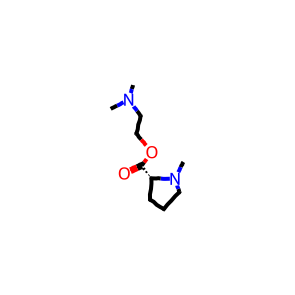 CN(C)CCOC(=O)[C@H]1CCCN1C